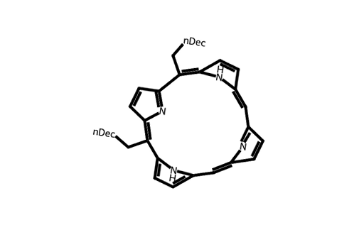 CCCCCCCCCCCc1c2nc(c(CCCCCCCCCCC)c3ccc(cc4nc(cc5ccc1[nH]5)C=C4)[nH]3)C=C2